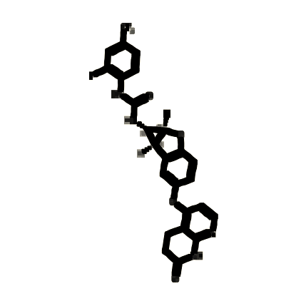 O=C1CCc2c(Oc3ccc4c(c3)[C@H]3[C@H](NC(=O)Nc5ccc(C(F)(F)F)cc5F)[C@H]3O4)ccnc2N1